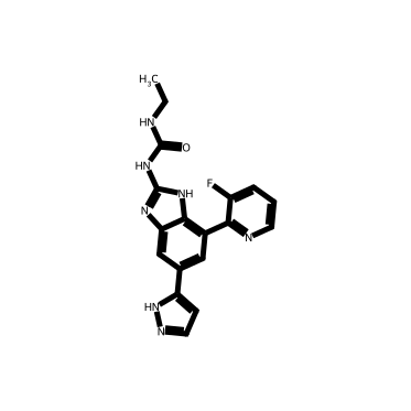 CCNC(=O)Nc1nc2cc(-c3ccn[nH]3)cc(-c3ncccc3F)c2[nH]1